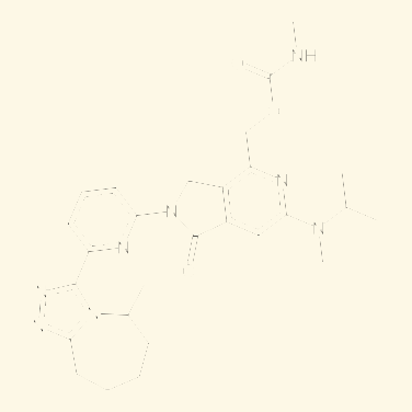 CNC(=O)OCc1nc(N(C)C(C)C)cc2c1CN(c1cccc(-c3nnc4n3C(C)CCCC4)n1)C2=O